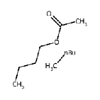 CCCCC.CCCCOC(C)=O